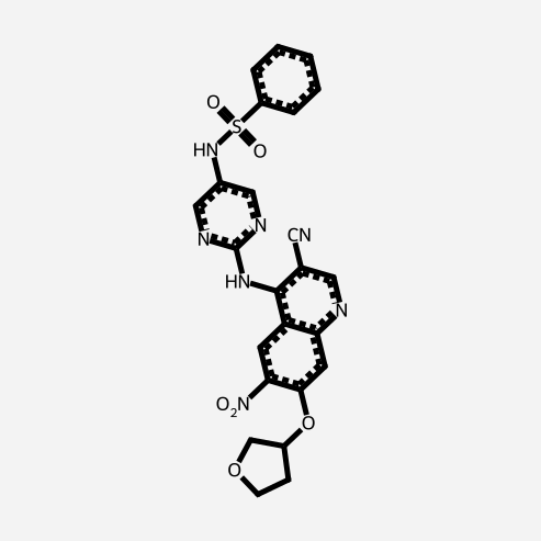 N#Cc1cnc2cc(OC3CCOC3)c([N+](=O)[O-])cc2c1Nc1ncc(NS(=O)(=O)c2ccccc2)cn1